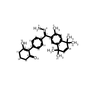 Cc1cc2c(cc1C(=NN)c1ccc(C3=C(O)CCCC3=O)cc1)C(C)(C)C=CC2(C)C